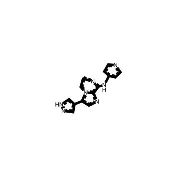 c1cc(Nc2nccn3c(-c4cn[nH]c4)cnc23)ccn1